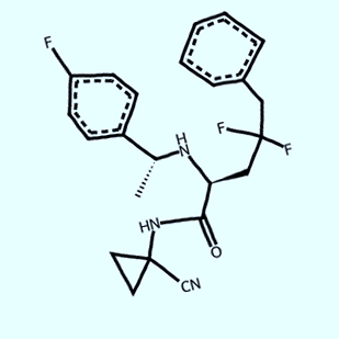 C[C@@H](N[C@@H](CC(F)(F)Cc1ccccc1)C(=O)NC1(C#N)CC1)c1ccc(F)cc1